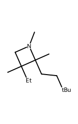 CCC1(C)CN(C)C1(C)CCC(C)(C)C